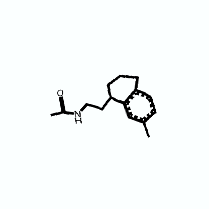 CC(=O)NCCC1CCCc2ccc(C)cc21